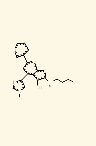 CCCC[S+]([O-])c1sc2nc(-c3cccnc3)cc(-c3cn(C)cn3)c2c1N